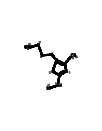 CCNc1nc(C)c(CCO[N+](=O)[O-])s1